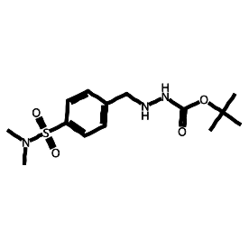 CN(C)S(=O)(=O)c1ccc(CNNC(=O)OC(C)(C)C)cc1